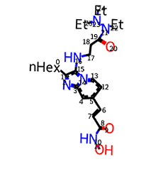 CCCCCCc1nc2cc(C=CC(=O)NO)ccn2c1NCCC(=O)N(CC)N(CC)CC